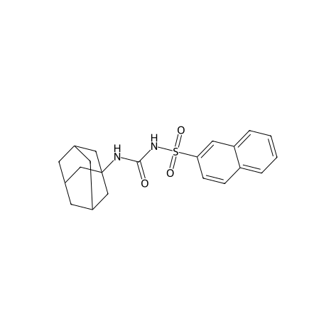 O=C(NC12CC3CC(CC(C3)C1)C2)NS(=O)(=O)c1ccc2ccccc2c1